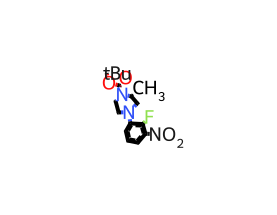 C[C@H]1CN(c2cccc([N+](=O)[O-])c2F)CCN1C(=O)OC(C)(C)C